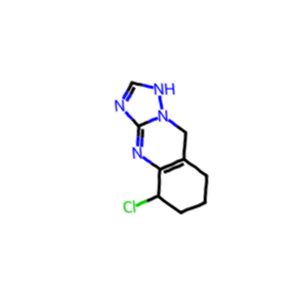 ClC1CCCC2=C1N=C1N=CNN1C2